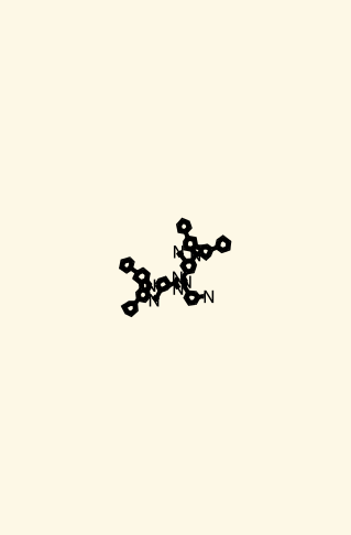 N#Cc1cccc(-c2nc(-c3ccc(-n4c5ccc(-c6ccccc6)cc5c5cc(-c6ccccc6)ccc54)c(C#N)c3)nc(-c3ccc(-n4c5ccc(-c6ccccc6)cc5c5cc(-c6ccccc6)ccc54)c(C#N)c3)n2)c1